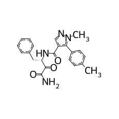 Cc1ccc(-c2c(C(=O)N[C@@H](Cc3ccccc3)C(=O)C(N)=O)cnn2C)cc1